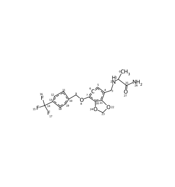 CC(NCc1ccc(OCc2ccc(C(F)(F)F)cc2)c2c1OCO2)C(N)=O